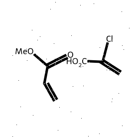 C=C(Cl)C(=O)O.C=CC(=O)OC